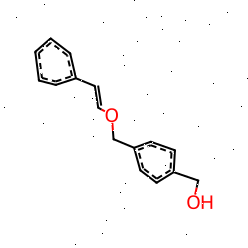 OCc1ccc(COC=Cc2ccccc2)cc1